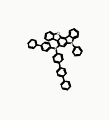 c1ccc(-c2ccc(-c3ccc(N(c4ccc(-c5ccccc5)cc4)c4cc5c(c6ccccc6n5-c5ccccc5)c5oc6ccccc6c45)cc3)cc2)cc1